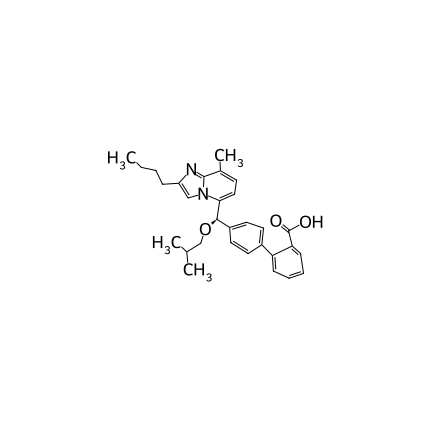 CCCCc1cn2c([C@H](OCC(C)C)c3ccc(-c4ccccc4C(=O)O)cc3)ccc(C)c2n1